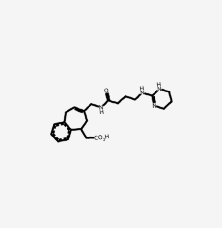 O=C(O)CC1CC(CNC(=O)CCCNC2=NCCCN2)=CCc2ccccc21